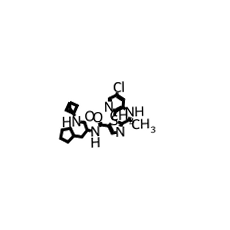 Cc1ncc(Cl)cc1NC(C)c1ncc(C(=O)NC(CC2CCCC2)C(=O)NC23CC(C2)C3)s1